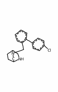 Clc1ccc(-c2ccccc2CN2CC3CCC2CN3)cc1